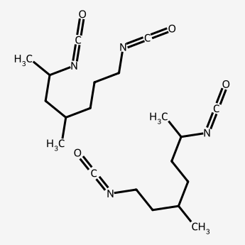 CC(CCCN=C=O)CC(C)N=C=O.CC(CCN=C=O)CCC(C)N=C=O